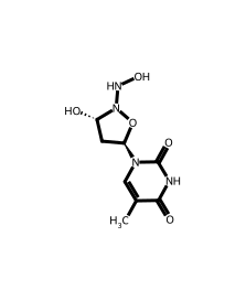 Cc1cn([C@H]2C[C@H](O)N(NO)O2)c(=O)[nH]c1=O